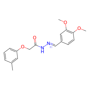 COc1ccc(/C=N/NC(=O)COc2cccc(C)c2)cc1OC